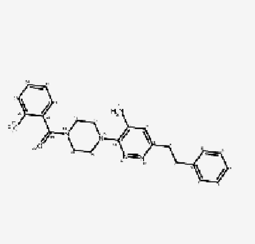 Nc1cc(CCc2ccccc2)nnc1N1CCN(C(=O)c2ccccc2C(F)(F)F)CC1